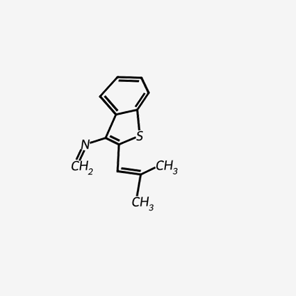 C=Nc1c(C=C(C)C)sc2ccccc12